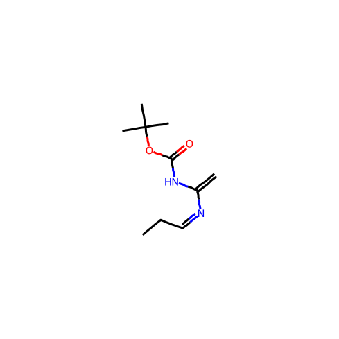 C=C(/N=C\CC)NC(=O)OC(C)(C)C